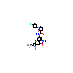 Cc1cc(C)c(C=C2C(=O)Nc3cc(NC(=O)c4cccn(-c5ccc(F)cc5)c4=O)ccc32)[nH]1